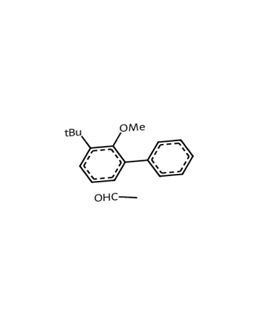 CC=O.COc1c(-c2ccccc2)cccc1C(C)(C)C